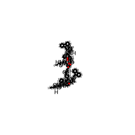 CCCC(=O)Nc1nc(-c2ccccc2)c(NC(=O)[C@@H]2CCCN2C(=O)[C@@H](NC(=O)[C@H](C)N(C)C(=O)OCC2c3ccccc3-c3ccccc32)C2CCN(C(=O)NCCCCNC(=O)N3CCC([C@H](NC(=O)[C@H](C)N(C)C(=O)OCC4c5ccccc5-c5ccccc54)C(=O)N4CCC[C@H]4C(=O)Nc4sc(NC(=O)CCC)nc4-c4ccccc4)CC3)CC2)s1